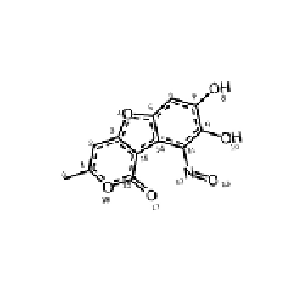 Cc1cc2oc3cc(O)c(O)c(N=O)c3c2c(=O)o1